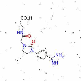 N=C(N)c1ccc(N2CCN(CC(=O)NCCC(=O)O)C2=O)cc1